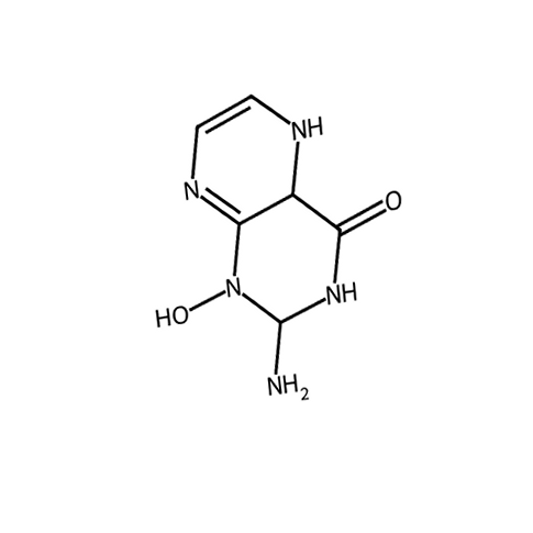 NC1NC(=O)C2NC=CN=C2N1O